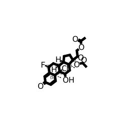 CC(=O)OCC(=O)[C@@]1(OC(C)=O)CC[C@H]2[C@@H]3C[C@H](F)C4=CC(=O)C=C[C@]4(C)[C@@]3(Cl)C(O)C[C@@]21C